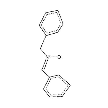 [O-][N+](=Cc1ccccc1)Cc1ccccc1